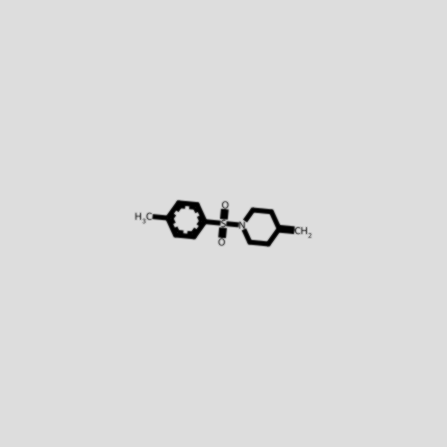 C=C1CCN(S(=O)(=O)c2ccc(C)cc2)CC1